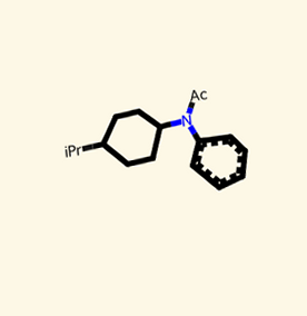 CC(=O)N(c1ccccc1)C1CCC(C(C)C)CC1